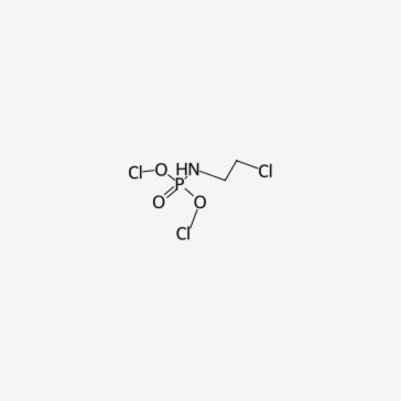 O=P(NCCCl)(OCl)OCl